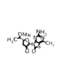 COC(C)[C@@H]1CC(=O)[C@H](n2c(=O)sc3c(C)nc(N)nc32)O1